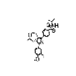 COc1ccc(-c2nc(-c3ccc(S(=O)(=O)NC(C)C)cc3)c3n2CC(C)OCC3)cc1F